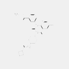 COC(=O)c1cccc(-n2c(=O)n(C3CCC(NC(=O)C4CCC4)CC3)c(=O)c3cc(F)cnc32)c1